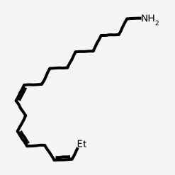 CC/C=C\C/C=C\C/C=C\CCCCCCCCN